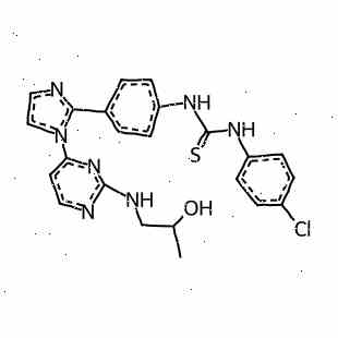 CC(O)CNc1nccc(-n2ccnc2-c2ccc(NC(=S)Nc3ccc(Cl)cc3)cc2)n1